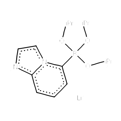 CC(C)O[B-](OC(C)C)(OC(C)C)c1cccc2nccn12.[Li+]